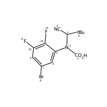 CC(C)(C)C(C#N)N(C(=O)O)c1cc(Br)cc(F)c1F